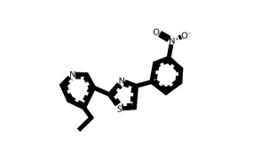 CCc1ccncc1-c1nc(-c2cccc([N+](=O)[O-])c2)cs1